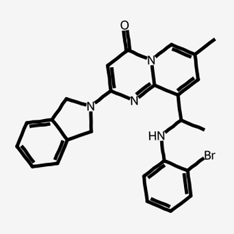 Cc1cc(C(C)Nc2ccccc2Br)c2nc(N3Cc4ccccc4C3)cc(=O)n2c1